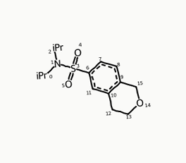 CC(C)N(C(C)C)S(=O)(=O)c1ccc2c(c1)CCOC2